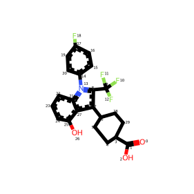 O=C(O)C1CCC(c2c(C(F)(F)F)n(-c3ccc(F)cc3)c3cccc(O)c23)CC1